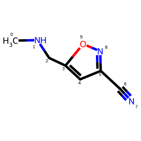 CNCc1cc(C#N)no1